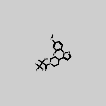 COc1ccc(-n2nccc2C2CCN(C(=O)C(C)(O)C(F)(F)F)CC2)c(F)c1